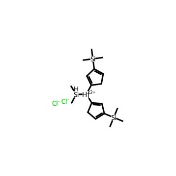 C[SiH](C)[Hf+2]([C]1=CC([Si](C)(C)C)=CC1)[C]1=CC([Si](C)(C)C)=CC1.[Cl-].[Cl-]